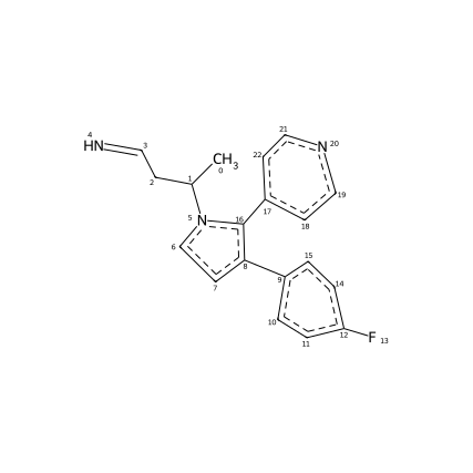 CC(CC=N)n1ccc(-c2ccc(F)cc2)c1-c1ccncc1